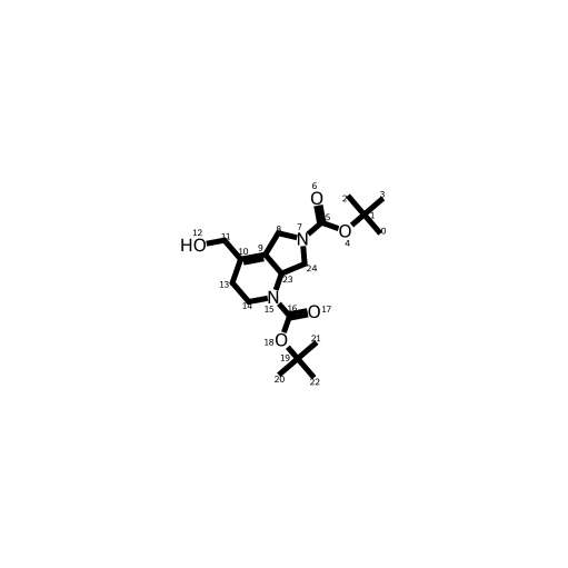 CC(C)(C)OC(=O)N1CC2=C(CO)CCN(C(=O)OC(C)(C)C)C2C1